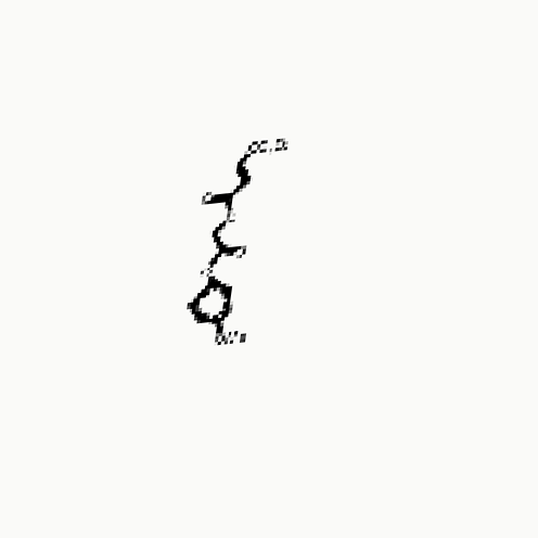 CCOC(=O)/C=C/C(=O)OCC(=O)Oc1ccc(OC)cc1